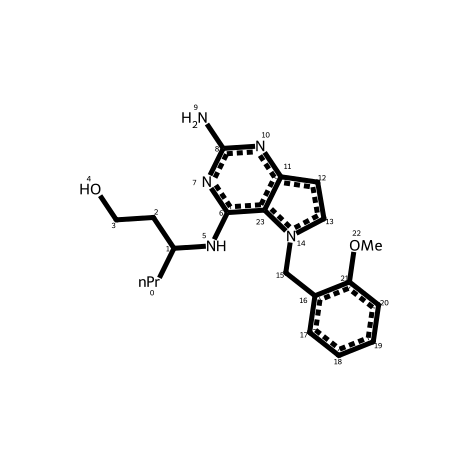 CCCC(CCO)Nc1nc(N)nc2ccn(Cc3ccccc3OC)c12